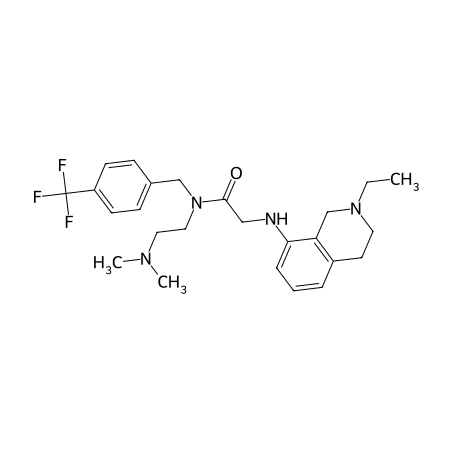 CCN1CCc2cccc(NCC(=O)N(CCN(C)C)Cc3ccc(C(F)(F)F)cc3)c2C1